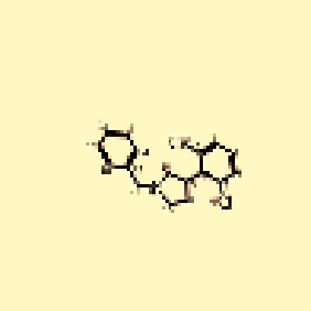 ClC1=CC=CC(Cl)[C]1C1CCN(Cc2ccccc2)C1